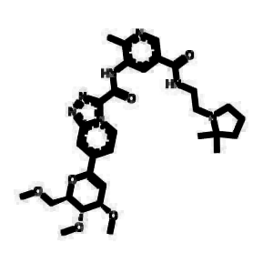 COC[C@H]1OC(c2ccn3c(C(=O)Nc4cc(C(=O)NCCN5CCCC5(C)C)cnc4C)nnc3c2)=C[C@@H](OC)[C@@H]1OC